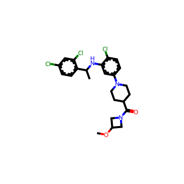 COC1CN(C(=O)C2CCN(c3ccc(Cl)c(NC(C)c4ccc(Cl)cc4Cl)c3)CC2)C1